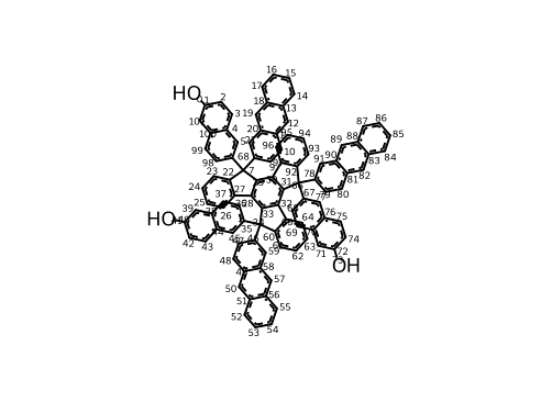 Oc1ccc2cc(C3(c4ccc5cc6ccccc6cc5c4)c4ccccc4-c4c3c3c(c5c4C(c4ccc6cc(O)ccc6c4)(c4ccc6cc7ccccc7cc6c4)c4ccccc4-5)C(c4ccc5cc(O)ccc5c4)(c4ccc5cc6ccccc6cc5c4)c4ccccc4-3)ccc2c1